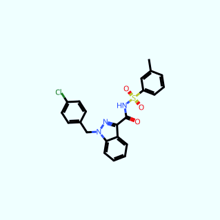 Cc1cccc(S(=O)(=O)NC(=O)c2nn(Cc3ccc(Cl)cc3)c3ccccc23)c1